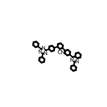 N#Cc1c(-c2ccc(-c3nc(-c4ccccc4)nc(-c4ccccc4)n3)cc2)cccc1-c1ccc(-c2nc(-c3ccccc3)nc3ccccc23)cc1